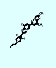 Cc1cn2nc(-c3cc(F)c4nc(C5[C@H]6CN(CCF)C[C@@H]56)cn4c3)cc(C)c2n1